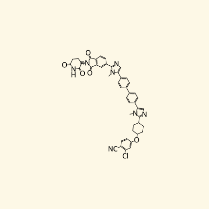 Cn1c(-c2ccc(-c3ccc(-c4cnc(C5CCC(Oc6ccc(C#N)c(Cl)c6)CC5)n4C)cc3)cc2)cnc1-c1ccc2c(c1)C(=O)N([C@@H]1CCC(=O)NC1=O)C2=O